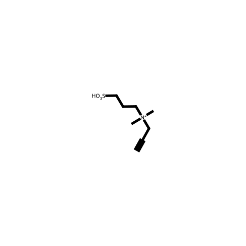 C#CC[N+](C)(C)CCCS(=O)(=O)O